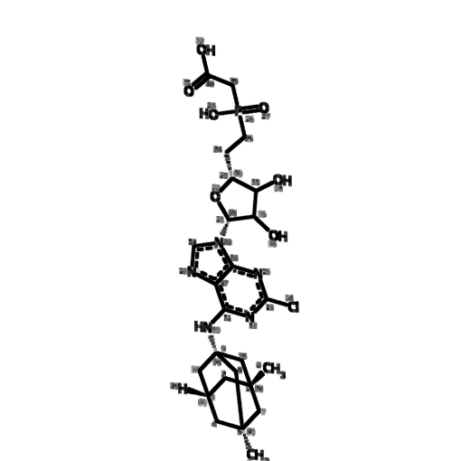 C[C@]12C[C@@H]3C[C@](C)(C1)C[C@@](Nc1nc(Cl)nc4c1ncn4[C@@H]1O[C@H](CCP(=O)(O)CC(=O)O)C(O)C1O)(C3)C2